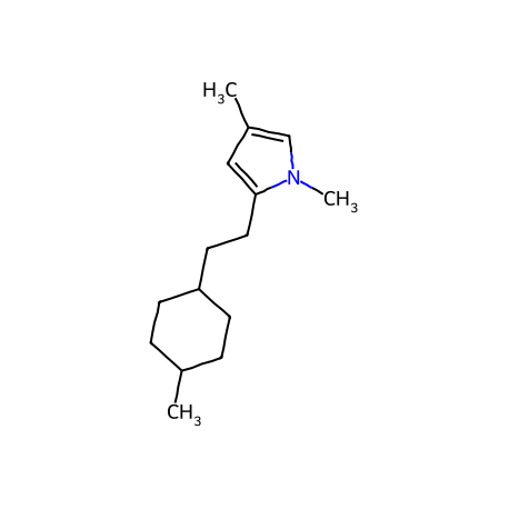 Cc1cc(CCC2CCC(C)CC2)n(C)c1